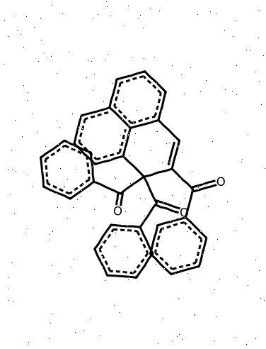 O=C(C1=Cc2cccc3cccc(c23)C1(C(=O)c1ccccc1)C(=O)c1ccccc1)c1ccccc1